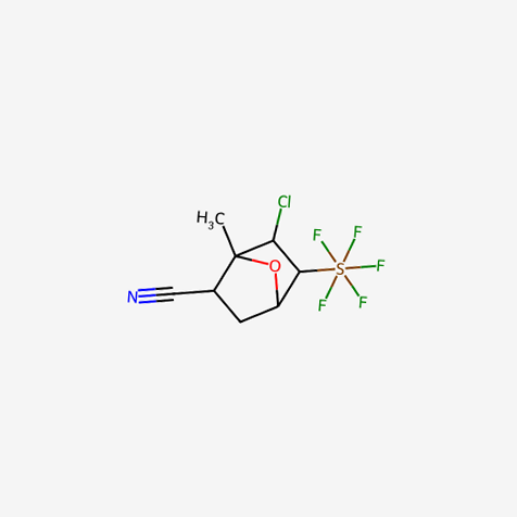 CC12OC(CC1C#N)C(S(F)(F)(F)(F)F)C2Cl